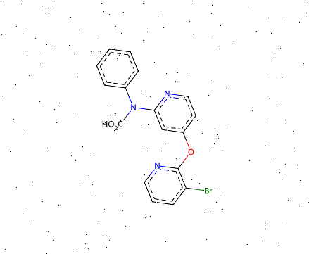 O=C(O)N(c1ccccc1)c1cc(Oc2ncccc2Br)ccn1